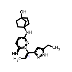 C/C=C(/c1cc(CC)[nH]n1)n1nc(NC23CCC(O)(CC2)C3)ccc1=N